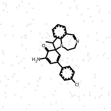 CC(C)C1(N2CCN=Cc3ccccc32)C=C(c2ccc(Cl)cc2)C=C(N)C1=O